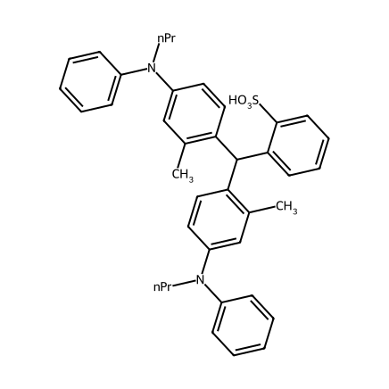 CCCN(c1ccccc1)c1ccc(C(c2ccc(N(CCC)c3ccccc3)cc2C)c2ccccc2S(=O)(=O)O)c(C)c1